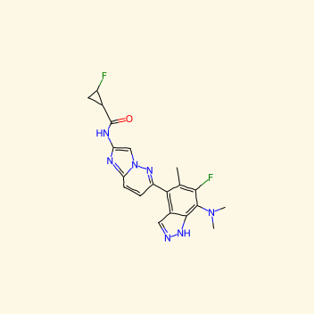 Cc1c(F)c(N(C)C)c2[nH]ncc2c1-c1ccc2nc(NC(=O)C3CC3F)cn2n1